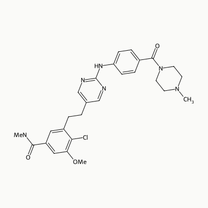 CNC(=O)c1cc(CCc2cnc(Nc3ccc(C(=O)N4CCN(C)CC4)cc3)nc2)c(Cl)c(OC)c1